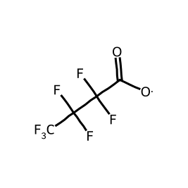 [O]C(=O)C(F)(F)C(F)(F)C(F)(F)F